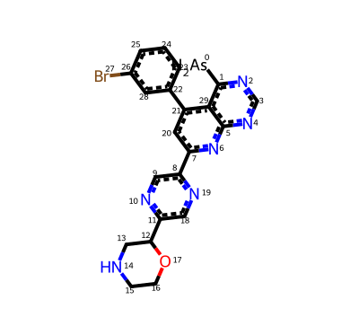 [AsH2]c1ncnc2nc(-c3cnc(C4CNCCO4)cn3)cc(-c3cccc(Br)c3)c12